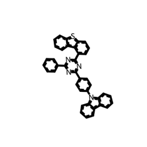 c1ccc(-c2nc(-c3ccc(-n4c5ccccc5c5ccccc54)cc3)nc(-c3cccc4sc5ccccc5c34)n2)cc1